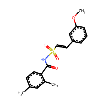 COc1cccc(/C=C/S(=O)(=O)NC(=O)c2ccc(C)cc2C)c1